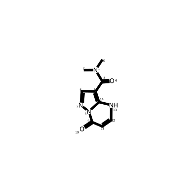 CN(C)C(=O)c1cnn2c(=O)cc[nH]c12